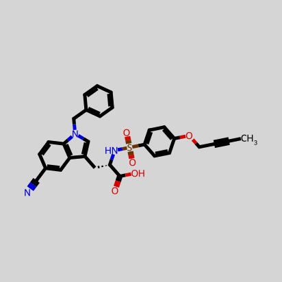 CC#CCOc1ccc(S(=O)(=O)N[C@@H](Cc2cn(Cc3ccccc3)c3ccc(C#N)cc23)C(=O)O)cc1